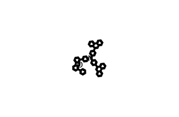 c1ccc(-c2cccc3c2oc2c(-c4ccc(N(c5ccc(-c6cc7ccccc7c7ccccc67)cc5)c5ccc(-c6cc7ccccc7c7ccccc67)cc5)cc4)cccc23)cc1